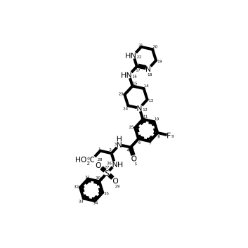 O=C(O)CC(NC(=O)c1cc(F)cc(N2CCC(NC3=NCCCN3)CC2)c1)NS(=O)(=O)c1ccccc1